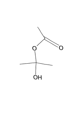 CC(=O)OC(C)(C)O